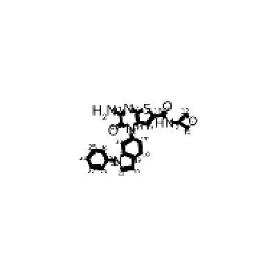 Nc1nc2sc(C(=O)NC3COC3)cc2n(-c2ccc3ccn(-c4ccccc4)c3c2)c1=O